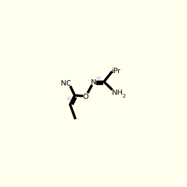 C/C=C(/C#N)O/N=C(\N)C(C)C